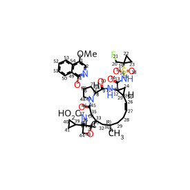 COc1cnc(O[C@@H]2C[C@H]3C(=O)N[C@]4(C(=O)NS(=O)(=O)C5(CF)CC5)C[C@H]4C=CCC[C@@H](C)C[C@@H](C)[C@H](N(C(=O)O)C4(C5CC5)COC4)C(=O)N3C2)c2ccccc12